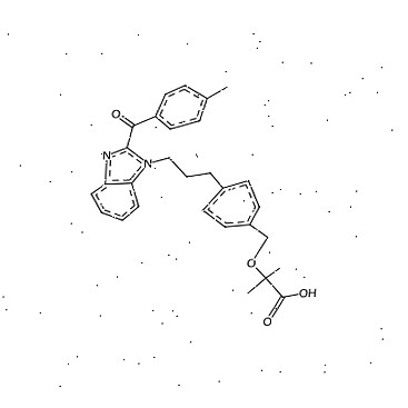 Cc1ccc(C(=O)c2nc3ccccc3n2CCCc2ccc(COC(C)(C)C(=O)O)cc2)cc1